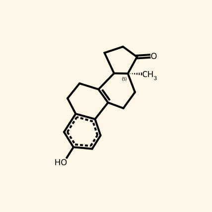 C[C@]12CCC3=C(CCc4cc(O)ccc43)C1CCC2=O